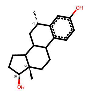 C[C@H]1CC2C(CC[C@@]3(C)C2CC[C@@H]3O)c2ccc(O)cc21